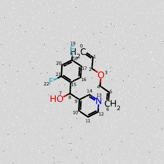 C=CCOCC=C.OC(c1cccnc1)c1ccc(F)cc1F